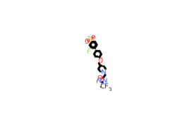 CS(=O)(=O)c1ccc([C@H]2CC[C@H](OCC3CCN(Cc4nc(C(F)(F)F)no4)CC3)CC2)c(F)c1